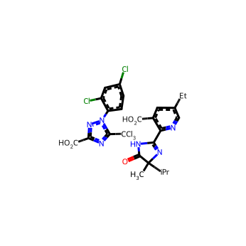 CCc1cnc(C2=NC(C)(C(C)C)C(=O)N2)c(C(=O)O)c1.O=C(O)c1nc(C(Cl)(Cl)Cl)n(-c2ccc(Cl)cc2Cl)n1